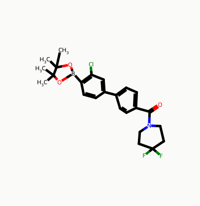 CC1(C)OB(c2ccc(-c3ccc(C(=O)N4CCC(F)(F)CC4)cc3)cc2Cl)OC1(C)C